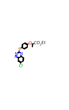 CCOC(=O)C(C)Oc1ccc(Sc2nnc3cc(Cl)ccc3n2)cc1